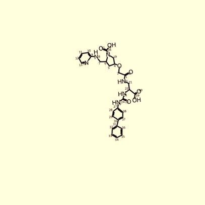 O=C(COC1CC(CNc2ccccn2)N(C(=O)O)C1)NCC(NC(=O)Nc1ccc(-c2ccccc2)cc1)C(=O)O